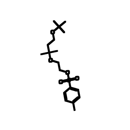 Cc1ccc(S(=O)(=O)OCCOC(C)(C)CCOC(C)(C)C)cc1